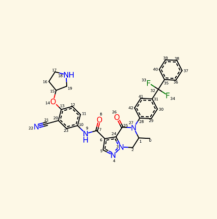 CC1Cn2ncc(C(=O)Nc3ccc(OC4CCNC4)c(C#N)c3)c2C(=O)N1c1ccc(C(F)(F)c2ccccc2)cc1